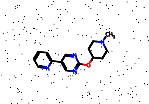 CN1CCC(Oc2ncc(-c3ccccn3)cn2)CC1